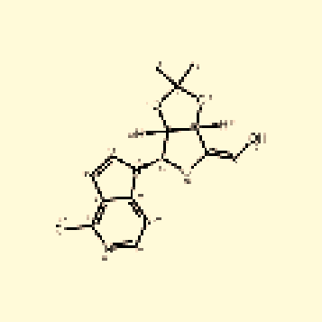 CC1(C)O[C@@H]2[C@H](O1)/C(=C\O)O[C@H]2n1ccc2c(Cl)ncnc21